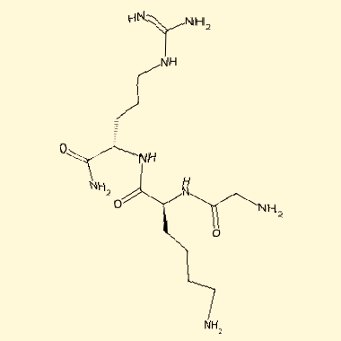 N=C(N)NCCC[C@H](NC(=O)[C@H](CCCCN)NC(=O)CN)C(N)=O